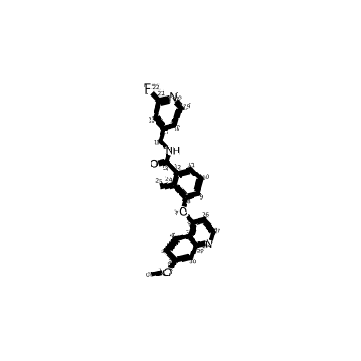 COc1ccc2c(Oc3cccc(C(=O)NCc4ccnc(F)c4)c3C)ccnc2c1